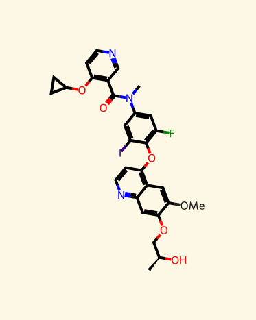 COc1cc2c(Oc3c(F)cc(N(C)C(=O)c4cnccc4OC4CC4)cc3I)ccnc2cc1OC[C@H](C)O